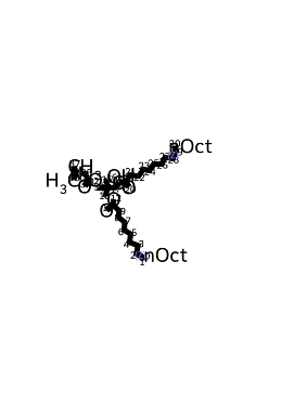 CCCCCCCC/C=C\CCCCCCCC(=O)OCC(CO)(COC(=O)CCCCCCC/C=C\CCCCCCCC)COC(=O)CN(C)C